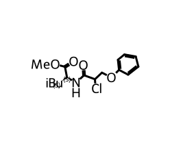 CC[C@H](C)[C@H](NC(=O)C(Cl)COc1ccccc1)C(=O)OC